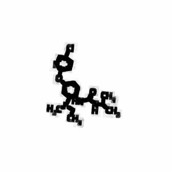 CCP(C)c1cc(Oc2ccc(Cl)cn2)ccc1NC(=O)NC(C)C